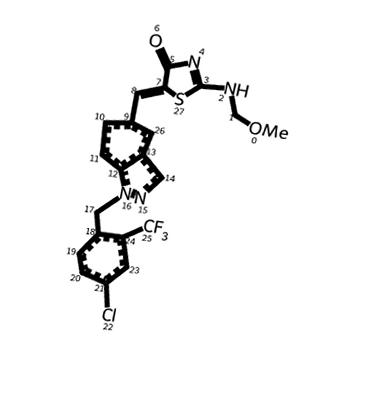 COCNC1=NC(=O)C(=Cc2ccc3c(cnn3Cc3ccc(Cl)cc3C(F)(F)F)c2)S1